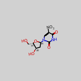 O=c1[nH]c(=O)n([C@H]2C[C@@H](O)[C@H](CO)O2)cc1[N+](=O)[O-]